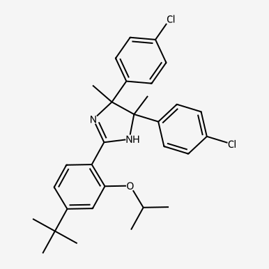 CC(C)Oc1cc(C(C)(C)C)ccc1C1=NC(C)(c2ccc(Cl)cc2)C(C)(c2ccc(Cl)cc2)N1